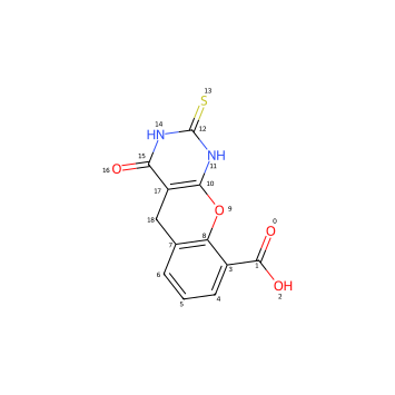 O=C(O)c1cccc2c1Oc1[nH]c(=S)[nH]c(=O)c1C2